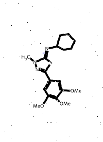 COc1cc(-c2nn(C)/c(=N/C3CCCCC3)s2)cc(OC)c1OC